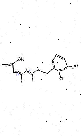 C=C(O)/C=C(C)\N=C(/C)SCc1cccc(O)c1Cl